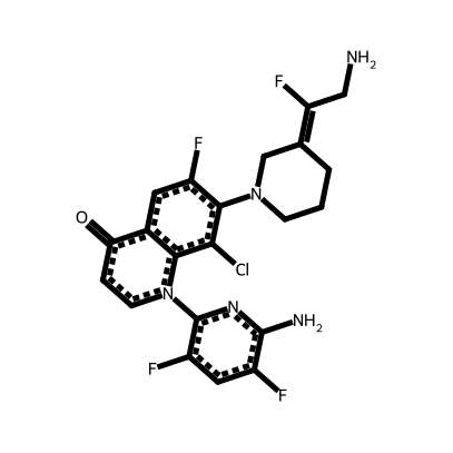 NCC(F)=C1CCCN(c2c(F)cc3c(=O)ccn(-c4nc(N)c(F)cc4F)c3c2Cl)C1